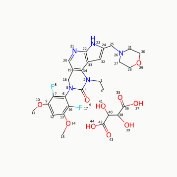 CCN1C(=O)N(c2c(F)c(OC)cc(OC)c2F)Cc2cnc3[nH]c(CN4CCOCC4)cc3c21.O=C(O)C(O)C(O)C(=O)O